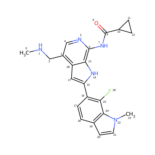 CNCc1cnc(NC(=O)C2CC2)c2[nH]c(-c3ccc4ccn(C)c4c3F)cc12